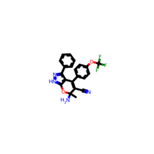 CC1(N)Oc2[nH]nc(-c3ccccc3)c2C(c2ccc(OC(F)(F)F)cc2)=C1C#N